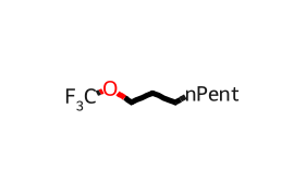 CCCCCCCCOC(F)(F)F